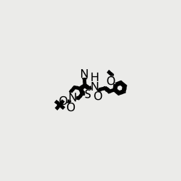 CCOc1ccccc1/C=C/C(=O)Nc1sc2c(c1C#N)CCN(C(=O)OC(C)(C)C)C2